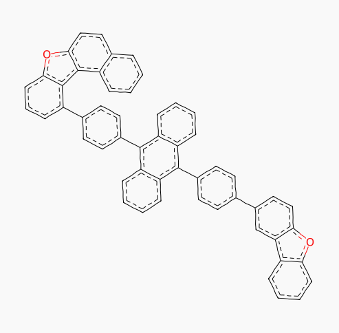 c1ccc2c(c1)ccc1oc3cccc(-c4ccc(-c5c6ccccc6c(-c6ccc(-c7ccc8oc9ccccc9c8c7)cc6)c6ccccc56)cc4)c3c12